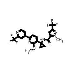 COc1nc(-c2ccnc(C(F)(F)F)c2)ccc1C1(NC(=O)c2cc(C(F)(F)F)nn2C)CC1